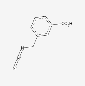 [N-]=[N+]=NCc1cccc(C(=O)O)c1